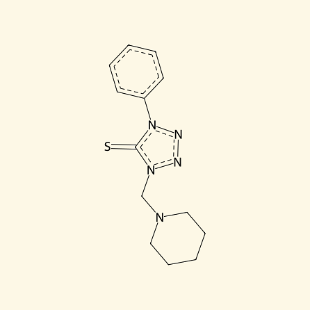 S=c1n(CN2CCCCC2)nnn1-c1ccccc1